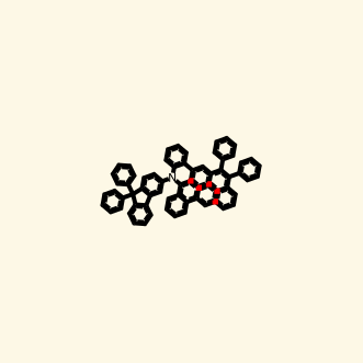 c1ccc(-c2c(-c3ccccc3)c3cc(-c4ccccc4N(c4ccc5c(c4)-c4ccccc4C5(c4ccccc4)c4ccccc4)c4cc5ccccc5c5ccccc45)ccc3c3ccccc23)cc1